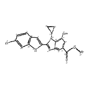 CCc1ccc2cc(-c3nc4cc(C(=O)OC(C)C)cc(OC)c4n3C3CC3)[nH]c2c1